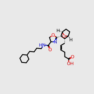 O=C(O)CC/C=C\C[C@@H]1[C@H](C2=NC(C(=O)NCCCCC3CCCCC3)CO2)[C@H]2CC[C@@H]1O2